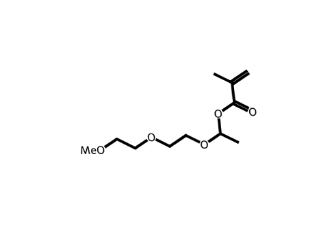 C=C(C)C(=O)OC(C)OCCOCCOC